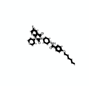 CCCCCCOc1ccc(C(=O)N[C@H]2CC[C@@H](n3c(=O)c4cc(F)cnc4n(C4CCSCC4)c3=O)CC2)cc1